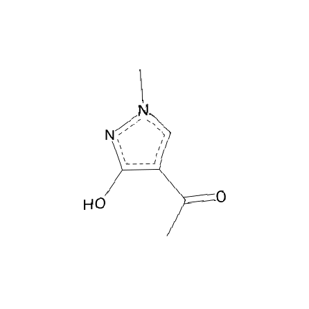 CC(=O)c1cn(C)nc1O